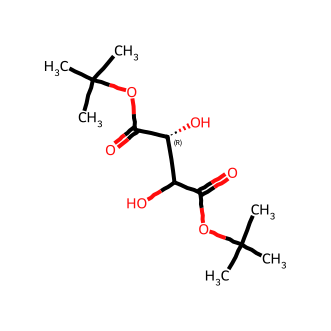 CC(C)(C)OC(=O)C(O)[C@@H](O)C(=O)OC(C)(C)C